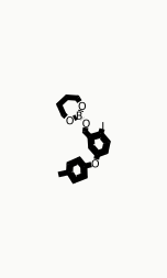 Cc1ccc(Oc2ccc(I)c(COB3OCCCCO3)c2)cc1